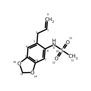 C=CCc1cc2c(cc1NS(C)(=O)=O)OCO2